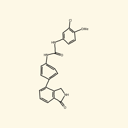 COc1ccc(NC(=O)Nc2ccc(-c3cccc4c3CNC4=O)cc2)cc1Cl